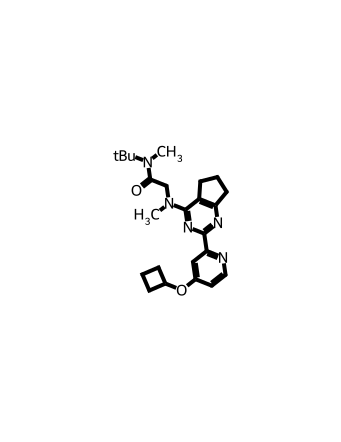 CN(CC(=O)N(C)C(C)(C)C)c1nc(-c2cc(OC3CCC3)ccn2)nc2c1CCC2